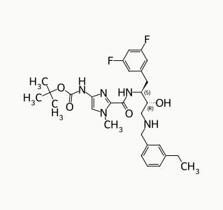 CCc1cccc(CNC[C@@H](O)[C@H](Cc2cc(F)cc(F)c2)NC(=O)c2nc(NC(=O)OC(C)(C)C)cn2C)c1